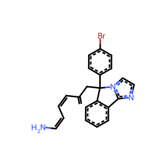 C=C(/C=C\C=C/N)CC1(c2ccc(Br)cc2)c2ccccc2-c2nccn21